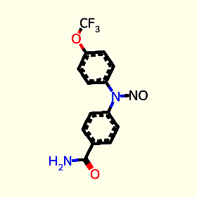 NC(=O)c1ccc(N(N=O)c2ccc(OC(F)(F)F)cc2)cc1